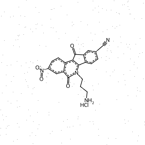 Cl.N#Cc1ccc2c(c1)C(=O)c1c-2n(CCCN)c(=O)c2cc([N+](=O)[O-])ccc12